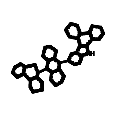 c1ccc2c(c1)cc(-c1c3ccccc3c(-c3ccc4[nH]c5c6ccccc6c6ccccc6c5c4c3)c3ccccc13)c1ccccc12